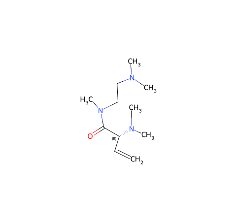 C=C[C@H](C(=O)N(C)CCN(C)C)N(C)C